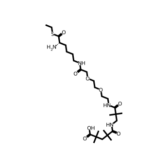 CCSC(=O)[C@@H](N)CCCCNC(=O)COCCOCCNC(=O)C(C)(C)CNC(=O)C(C)(C)CC(C)(C)C(=O)O